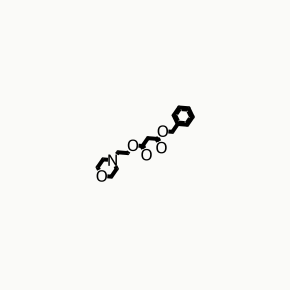 O=C(CC(=O)OCc1ccccc1)OCCN1CCOCC1